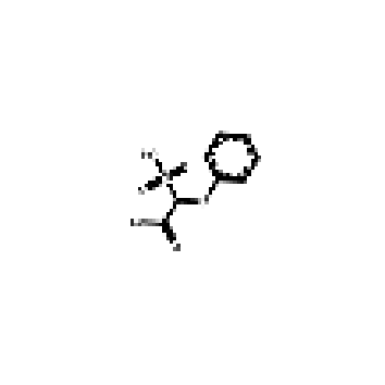 O=C(O)C(Oc1ccccc1)S(=O)(=O)O